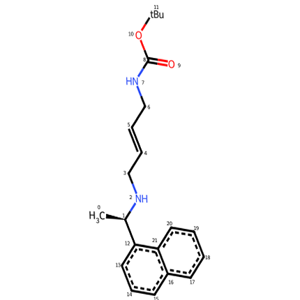 C[C@@H](NC/C=C/CNC(=O)OC(C)(C)C)c1cccc2ccccc12